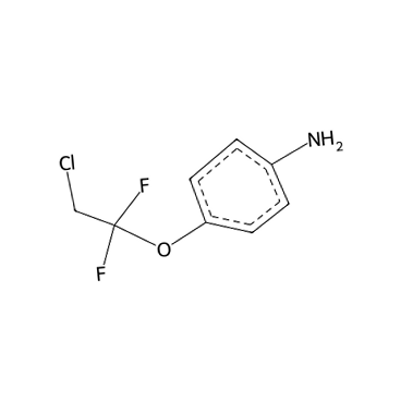 Nc1ccc(OC(F)(F)CCl)cc1